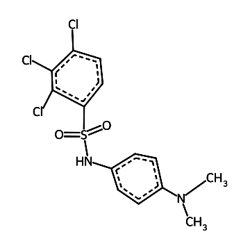 CN(C)c1ccc(NS(=O)(=O)c2ccc(Cl)c(Cl)c2Cl)cc1